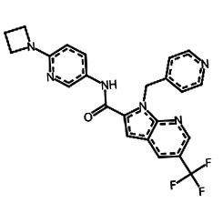 O=C(Nc1ccc(N2CCC2)nc1)c1cc2cc(C(F)(F)F)cnc2n1Cc1ccncc1